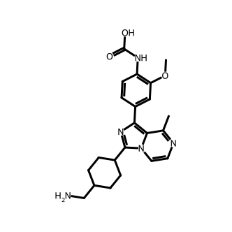 COc1cc(-c2nc(C3CCC(CN)CC3)n3ccnc(C)c23)ccc1NC(=O)O